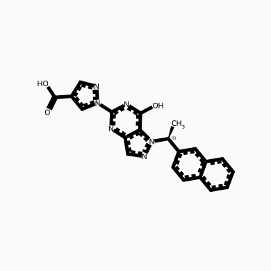 C[C@@H](c1ccc2ccccc2c1)n1ncc2nc(-n3cc(C(=O)O)cn3)nc(O)c21